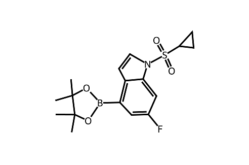 CC1(C)OB(c2cc(F)cc3c2ccn3S(=O)(=O)C2CC2)OC1(C)C